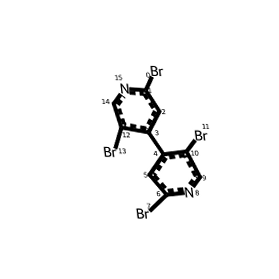 Brc1cc(-c2cc(Br)ncc2Br)c(Br)cn1